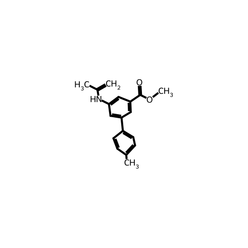 C=C(C)Nc1cc(C(=O)OC)cc(-c2ccc(C)cc2)c1